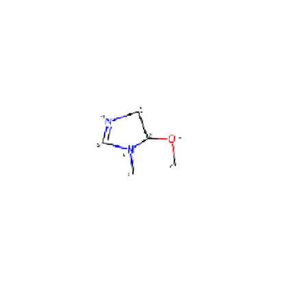 COC1[CH]N=CN1C